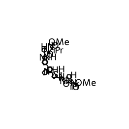 COC(=O)N[C@H](C(=O)N1CCC[C@H]1c1ncc(-c2ccc(-c3ccc(-c4ccc5nc([C@@H]6CCCN6C(=O)[C@@H](NC(=O)OC)C(C)C)[nH]c5c4)c4c3C3CCC4N3C)s2)[nH]1)C(C)C